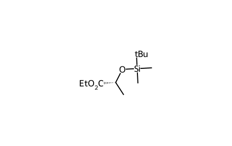 CCOC(=O)[C@@H](C)O[Si](C)(C)C(C)(C)C